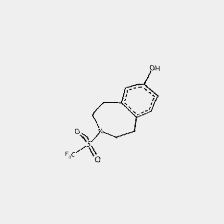 O=S(=O)(N1CCc2ccc(O)cc2CC1)C(F)(F)F